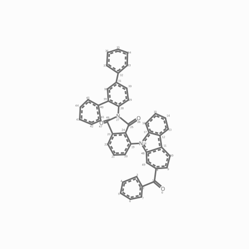 O=C(c1ccccc1)c1ccc2c3ccccc3n(-c3cccc4c3C(=O)N(c3ccc(-c5ccccc5)cc3-c3ccccc3)C4=O)c2c1